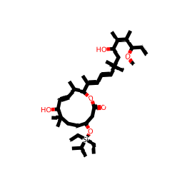 CCC(OC)C(C)C(C)C(O)CC(C)(C)/C=C/C=C(\C)C1OC(=O)CC(O[Si](CC)(CC)C(C)C)CCC(C)(C)C(O)/C=C/C1C